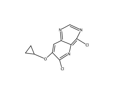 Clc1nc2c(Cl)ncnc2cc1OC1CC1